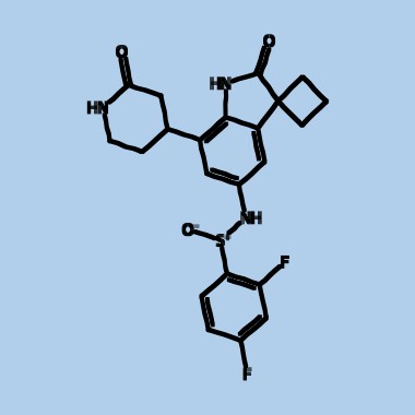 O=C1CC(c2cc(N[S+]([O-])c3ccc(F)cc3F)cc3c2NC(=O)C32CCC2)CCN1